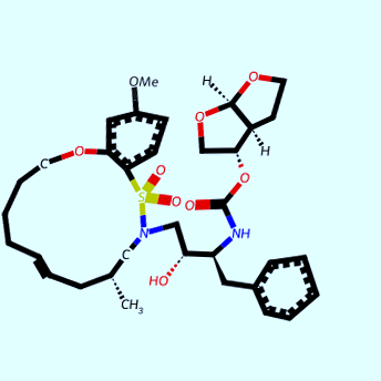 COc1ccc2c(c1)OCCCC/C=C/C[C@@H](C)CN(C[C@@H](O)[C@H](Cc1ccccc1)NC(=O)O[C@@H]1CO[C@H]3OCC[C@H]31)S2(=O)=O